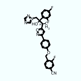 C[C@@H](c1cc(-c2ccc(OCc3ccc(C#N)cc3F)cc2)no1)[C@](O)(Cn1cncn1)c1ccc(F)cc1F